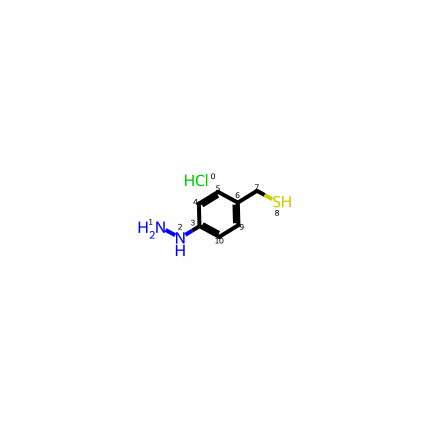 Cl.NNc1ccc(CS)cc1